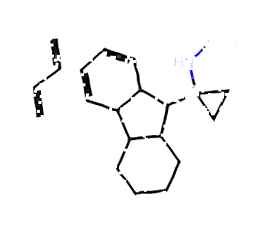 C=CC=C.O=C[NH][Ti]1([CH]2C3C=CC=CC3C3CCCCC32)[CH2][CH2]1